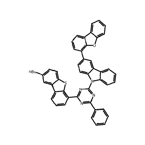 CCCCc1ccc2sc3c(-c4nc(-c5ccccc5)nc(-n5c6ccccc6c6cc(-c7cccc8c7oc7ccccc78)ccc65)n4)cccc3c2c1